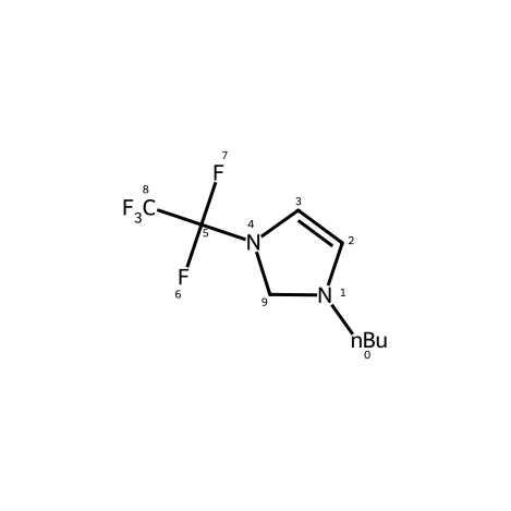 CCCCN1C=CN(C(F)(F)C(F)(F)F)C1